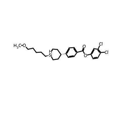 COCCCCC[Si@H]1CC[C@H](c2ccc(C(=O)Oc3ccc(Cl)c(Cl)c3)cc2)CC1